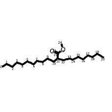 CCCCCCCCCCCC(CCCCCCCCC)C(=O)OC